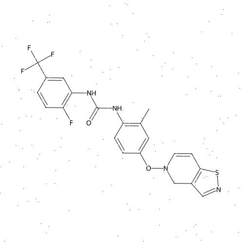 Cc1cc(ON2C=Cc3sncc3C2)ccc1NC(=O)Nc1cc(C(F)(F)F)ccc1F